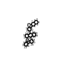 c1ccc2cc3c(cc2c1)oc1ccc(-c2c4ccccc4c(-c4cccc5c4oc4ccccc45)c4ccccc24)cc13